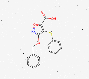 O=C(O)c1onc(OCc2ccccc2)c1Sc1ccccc1